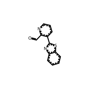 O=Cc1ncccc1-c1nc2ccccc2s1